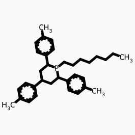 CCCCCCCCP1C(c2ccc(C)cc2)CC(c2ccc(C)cc2)CC1c1ccc(C)cc1